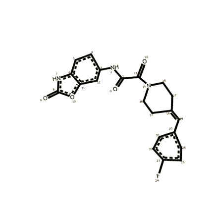 O=C(Nc1ccc2[nH]c(=O)oc2c1)C(=O)N1CCC(=Cc2ccc(F)cc2)CC1